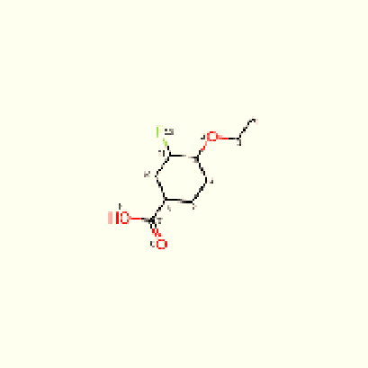 CCOC1CCC(C(=O)O)CC1F